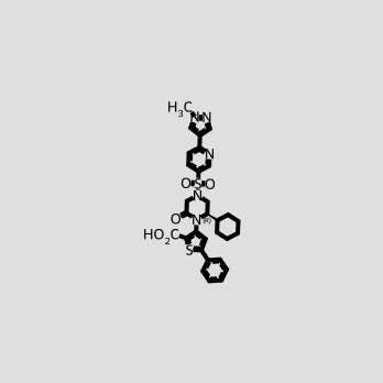 Cn1cc(-c2ccc(S(=O)(=O)N3CC(=O)N(c4cc(-c5ccccc5)sc4C(=O)O)[C@H](C4CCCCC4)C3)cn2)cn1